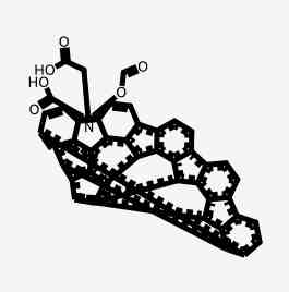 O=COC1N(CC(=O)O)C(C(=O)O)C23C=Cc4c5ccc6c7ccc8c9ccc%10c%11c%12c(c%13c2c4c2c5c6c4c7c8c5c9c%10c%12c6c%13c2c4c65)C13C=C%11